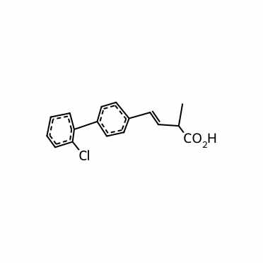 CC(/C=C/c1ccc(-c2ccccc2Cl)cc1)C(=O)O